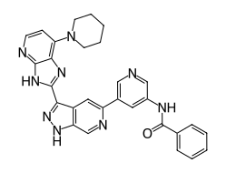 O=C(Nc1cncc(-c2cc3c(-c4nc5c(N6CCCCC6)ccnc5[nH]4)n[nH]c3cn2)c1)c1ccccc1